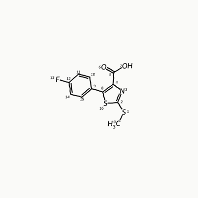 CSc1nc(C(=O)O)c(-c2ccc(F)cc2)s1